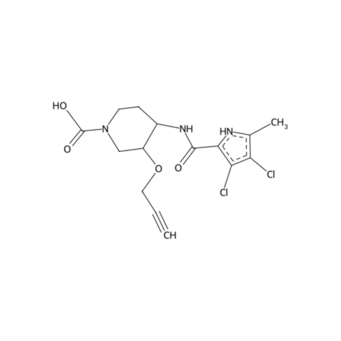 C#CCOC1CN(C(=O)O)CCC1NC(=O)c1[nH]c(C)c(Cl)c1Cl